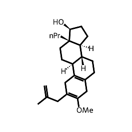 C=C(C)CC1=C(OC)CC2=C(C1)[C@H]1CC[C@]3(CCC)[C@@H](O)CC[C@H]3[C@@H]1CC2